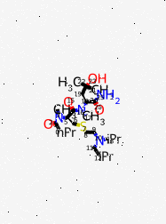 CCCC(=O)N(C)[C@H](CSCCN(CC(C)C)C(C)C)C(=O)N(C)[C@@H](CC(C)(C)O)C(N)=O